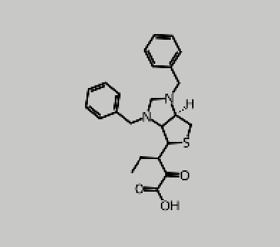 CCC(C(=O)C(=O)O)C1SC[C@H]2C1N(Cc1ccccc1)CN2Cc1ccccc1